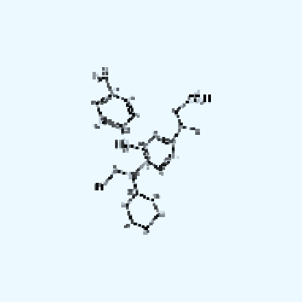 CC(C)CN(c1ccc(C(C)CC(=O)O)cc1Nc1ccc(C(F)(F)F)cn1)C1CCCCC1